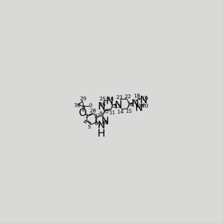 CC1(Oc2ccc3[nH]nc(-c4cc(N5CCC(n6cncn6)CC5)ncn4)c3c2)CC1